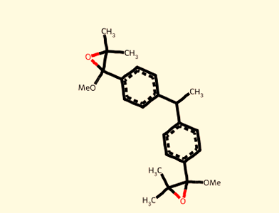 COC1(c2ccc(C(C)c3ccc(C4(OC)OC4(C)C)cc3)cc2)OC1(C)C